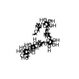 CCOCc1cn(C[C@H]2O[C@@H](OCn3cc(C[C@@H]4O[C@H](OCc5cn(C[C@@H]6O[C@](CCl)(O[C@H]7O[C@@H](CO)[C@@H](Cl)[C@@H](O)[C@@H]7O)[C@H](O)[C@@H]6O)nn5)[C@H](O)[C@H](O)[C@@H]4O)nn3)[C@@H](O)[C@@H](O)[C@H]2O)nn1